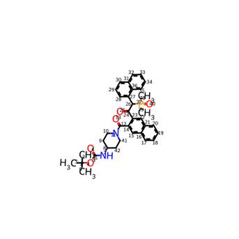 CC(C)(C)OC(=O)NC1CCN(C(=O)c2cc3ccccc3cc2C(=O)C(c2cccc3ccccc23)P(C)(C)=O)CC1